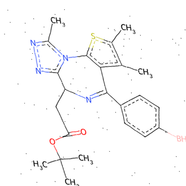 Bc1ccc(C2=NC(CC(=O)OC(C)(C)C)c3nnc(C)n3-c3sc(C)c(C)c32)cc1